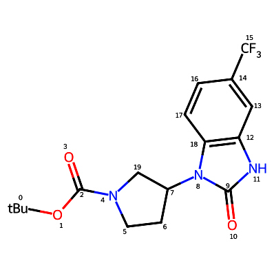 CC(C)(C)OC(=O)N1CCC(n2c(=O)[nH]c3cc(C(F)(F)F)ccc32)C1